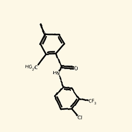 Cc1ccc(C(=O)Nc2ccc(Cl)c(C(F)(F)F)c2)c(C(=O)O)c1